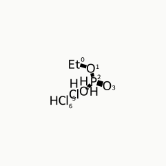 CCO[PH](=O)O.Cl.Cl